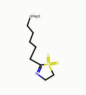 CCCCCCCCCCCCC1=NCCS1(=S)=S